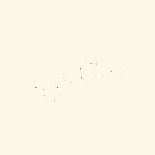 CCCCCCC(CC(C)C(C)(C)C)OC(=O)C1CCCC(C(=O)O)C1